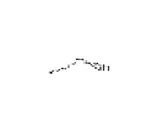 CCC/C=C/CC/C=C\CCCO